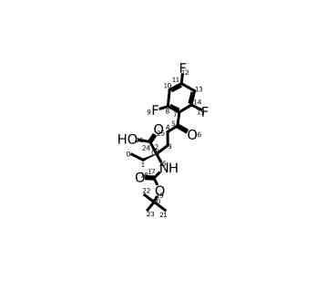 CC[C@@](CCC(=O)c1c(F)cc(F)cc1F)(NC(=O)OC(C)(C)C)C(=O)O